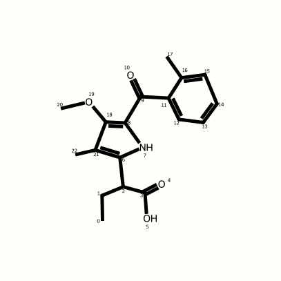 CCC(C(=O)O)c1[nH]c(C(=O)c2ccccc2C)c(OC)c1C